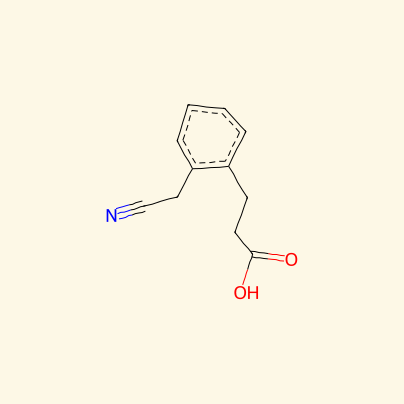 N#CCc1ccccc1CCC(=O)O